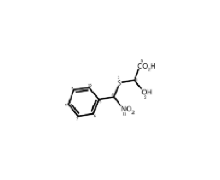 O=C(O)C(O)SC(c1ccccc1)[N+](=O)[O-]